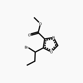 CCC(Br)c1ocnc1C(=O)OC